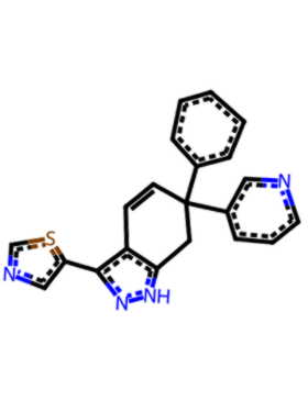 C1=CC(c2ccccc2)(c2cccnc2)Cc2[nH]nc(-c3cncs3)c21